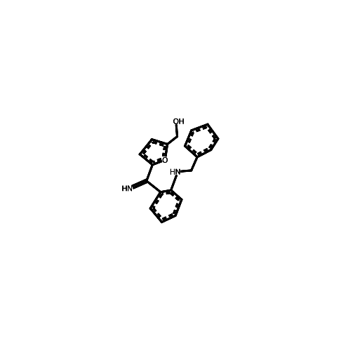 N=C(c1ccc(CO)o1)c1ccccc1NCc1ccccc1